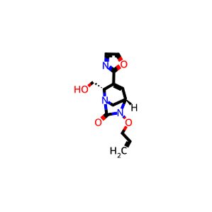 C=CCON1C(=O)N2C[C@@H]1C=C(c1ncco1)[C@H]2CO